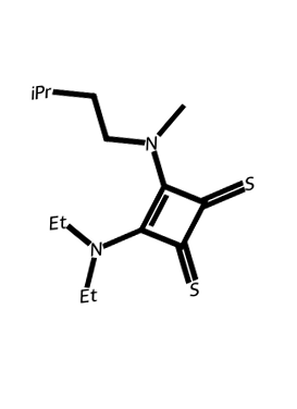 CCN(CC)c1c(N(C)CCC(C)C)c(=S)c1=S